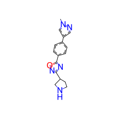 Cn1cc(-c2ccc(-c3nc(C4CCNC4)no3)cc2)cn1